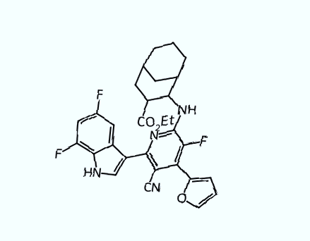 CCOC(=O)C1CC2CCCC(C2)C1Nc1nc(-c2c[nH]c3c(F)cc(F)cc23)c(C#N)c(-c2ccco2)c1F